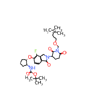 CC(C)(C)OC(=O)N[C@H]1CCC[C@@H]1Oc1ccc2c(c1F)CN(C1CCC(=O)N(COCC[Si](C)(C)C)C1=O)C2=O